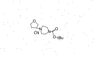 CC(C)(C)OC(=O)N1CCN([C@@]2(C#N)CCOC2)CC1